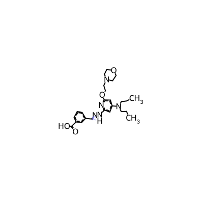 CCCN(CCC)c1cc(N/N=C/c2cccc(C(=O)O)c2)nc(OCCN2CCOCC2)c1